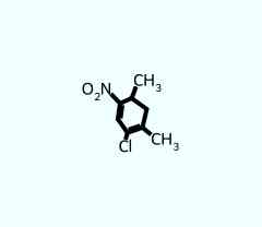 CC1=C(Cl)C=C([N+](=O)[O-])C(C)C1